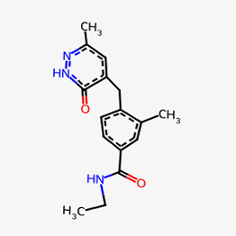 CCNC(=O)c1ccc(Cc2cc(C)n[nH]c2=O)c(C)c1